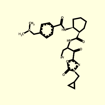 CC(C)CC(NC(=O)[C@@H]1CCCC[C@@H]1NC(=O)c1ccc(CN(C)C)cc1)C(=O)c1nn(CC2CC2)c(=O)o1